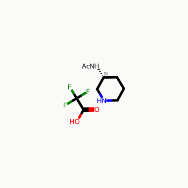 CC(=O)N[C@@H]1CCCNC1.O=C(O)C(F)(F)F